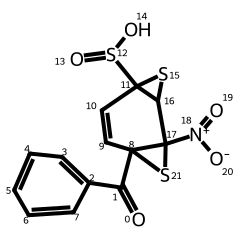 O=C(c1ccccc1)C12C=CC3(S(=O)O)SC3C1([N+](=O)[O-])S2